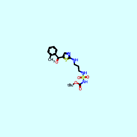 Cc1ccccc1C(=O)c1cnc(NCCCNS(=O)(=O)NC(=O)OC(C)(C)C)s1